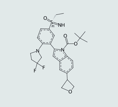 CC[S@@](=N)(=O)c1ccc(N2CCC(F)(F)C2)c(-c2cc3cc(C4COC4)ccc3n2C(=O)OC(C)(C)C)c1